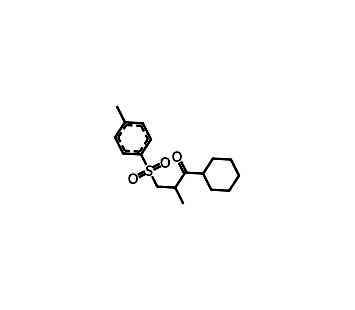 Cc1ccc(S(=O)(=O)CC(C)C(=O)C2CCCCC2)cc1